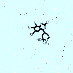 CC1(O)CC(c2nc(Cl)nc3c(F)c(Br)c(Cl)cc23)CCO1